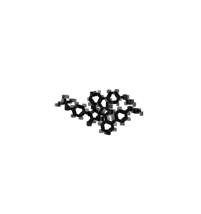 COc1ccc(-c2cnccc2C(C)C2(C(C)c3ccncc3-c3ccc(OC)cc3)NC(=O)N(c3ccc(OC(F)(F)F)cc3)C2=O)cc1